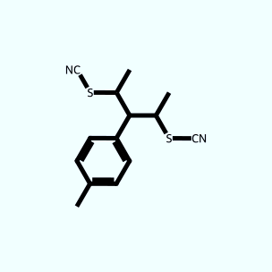 Cc1ccc(C(C(C)SC#N)C(C)SC#N)cc1